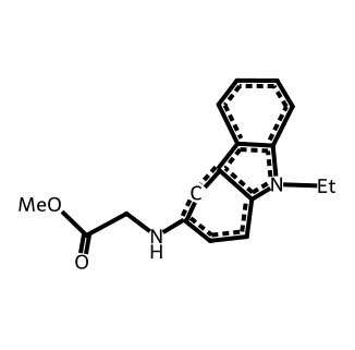 CCn1c2ccccc2c2cc(NCC(=O)OC)ccc21